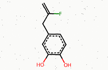 C=C(F)Cc1ccc(O)c(O)c1